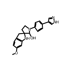 COc1ccc2c(c1)NC1(CCN(c3ccc(-c4cn[nH]c4)cc3)C1O)C2